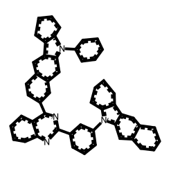 c1ccc(-n2c3ccccc3c3cc4ccc(-c5nc(-c6cccc(-n7c8ccccc8c8cc9ccccc9cc87)c6)nc6ccccc56)cc4cc32)cc1